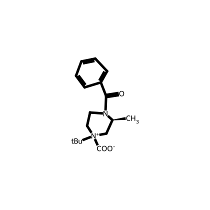 C[C@H]1C[N+](C(=O)[O-])(C(C)(C)C)CCN1C(=O)c1ccccc1